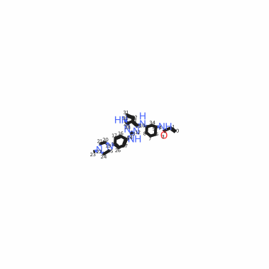 C=CC(=O)NC1CCCC(Nc2nc(Nc3ccc(N4CCN(C)CC4)cc3)nc3[nH]ccc23)C1